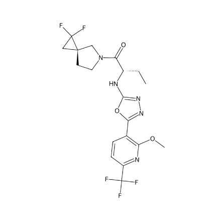 CC[C@H](Nc1nnc(-c2ccc(C(F)(F)F)nc2OC)o1)C(=O)N1CC[C@@]2(C1)CC2(F)F